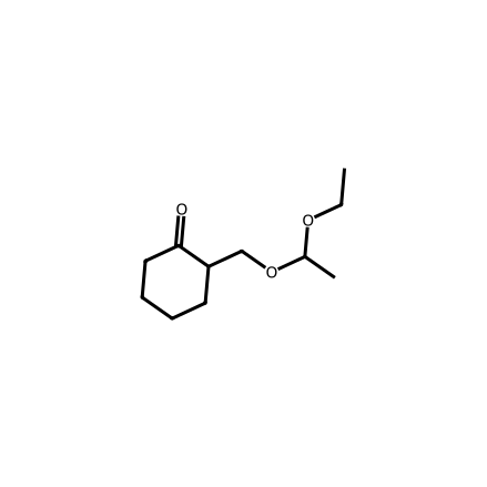 CCOC(C)OCC1CCCCC1=O